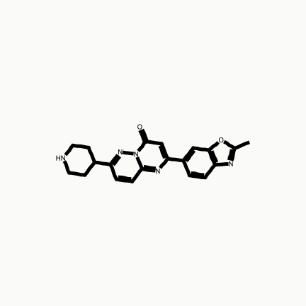 Cc1nc2ccc(-c3cc(=O)n4nc(C5CCNCC5)ccc4n3)cc2o1